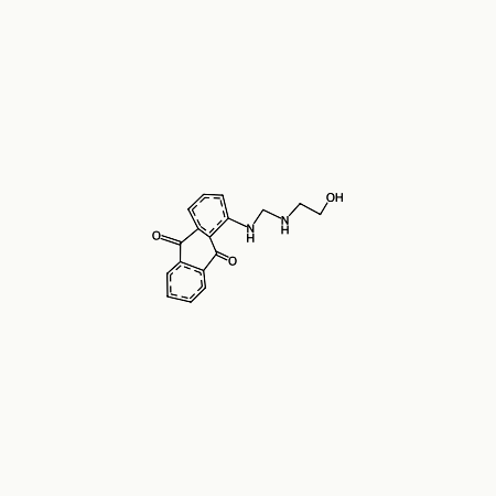 O=C1c2ccccc2C(=O)c2c(NCNCCO)cccc21